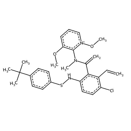 C=Cc1c(Cl)ccc(NSc2ccc(C(C)(C)C)cc2)c1C(=C)N(C)c1c(OC)ccc[n+]1OC